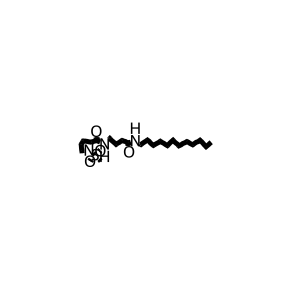 CCCCCCCCCCCCNC(=O)CCCNC(=O)C1CCCN1S(C)(=O)=O